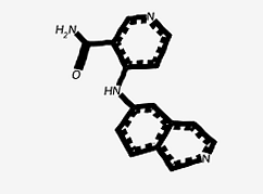 NC(=O)c1cnccc1Nc1ccc2cnccc2c1